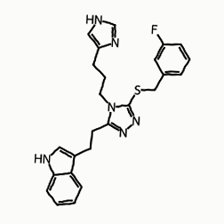 Fc1cccc(CSc2nnc(CCc3c[nH]c4ccccc34)n2CCCc2c[nH]cn2)c1